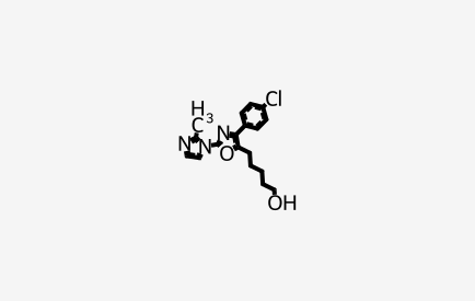 Cc1nccn1-c1nc(-c2ccc(Cl)cc2)c(CCCCCO)o1